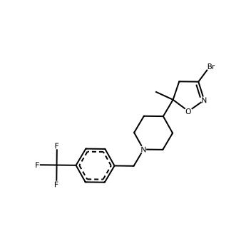 CC1(C2CCN(Cc3ccc(C(F)(F)F)cc3)CC2)CC(Br)=NO1